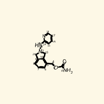 NC(=O)OCc1cccc2c1CN(Nc1ccccn1)C2